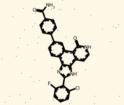 NC(=O)c1ccc(-c2ccc3c(c2)c2c(=O)[nH]ccc2c2[nH]c(-c4c(F)cccc4Cl)nc32)cc1